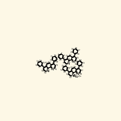 [Ru+2].c1ccc(-c2ccnc3c2ccc2c(-c4ccccc4)ccnc23)cc1.c1ccc(-c2ccnc3c2ccc2c(-c4ccccc4)ccnc23)cc1.c1ccc(-c2ccnc3c2ccc2c(-c4ccccc4)ccnc23)cc1